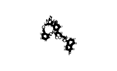 CCc1c2c(nn1C)COCc1ccccc1Cn1c(C(=O)O)c(CCCOc3cccc4cc(F)ccc34)c3ccc(Cl)c-2c31